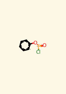 O=[P](Cl)Oc1[c]cccc1